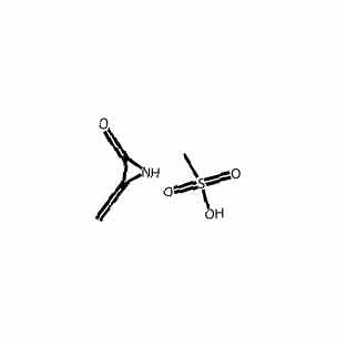 C=C1NC1=O.CS(=O)(=O)O